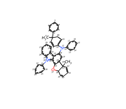 CC1(c2ccccc2)C=CC(N(c2ccccc2)c2cc3c(c4c2c2ccccc2n4-c2ccccc2)OC2C=CC=CC32C)=CC1